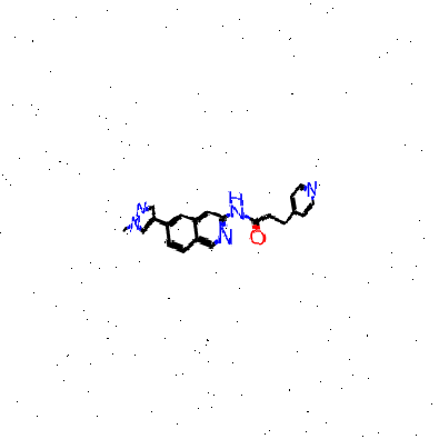 Cn1cc(-c2ccc3cnc(NC(=O)CCc4ccncc4)cc3c2)cn1